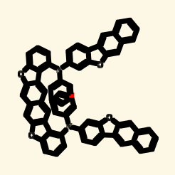 c1ccc(N(c2ccc3c(c2)oc2cc4ccccc4cc23)c2cccc3oc4cc5cc6oc7cccc(N(c8ccccc8)c8ccc9c(c8)oc8cc%10ccccc%10cc89)c7c6cc5cc4c23)cc1